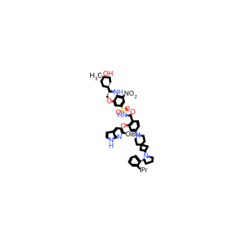 CC(C)COc1nc2[nH]ccc2cc1Oc1cc(N2CCC3(CC2)CC(N2CCC[C@@H]2c2ccccc2C(C)C)C3)ccc1C(=O)NS(=O)(=O)c1cc2c(c([N+](=O)[O-])c1)N[C@@H]([C@H]1CC[C@](C)(O)CC1)CO2